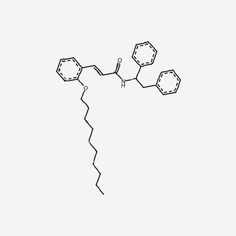 CCCCCCCCCCOc1ccccc1/C=C/C(=O)NC(Cc1ccccc1)c1ccccc1